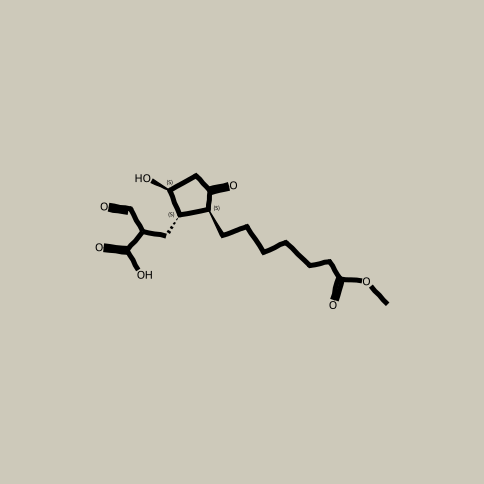 COC(=O)CCCCCC[C@@H]1C(=O)C[C@H](O)[C@H]1CC(C=O)C(=O)O